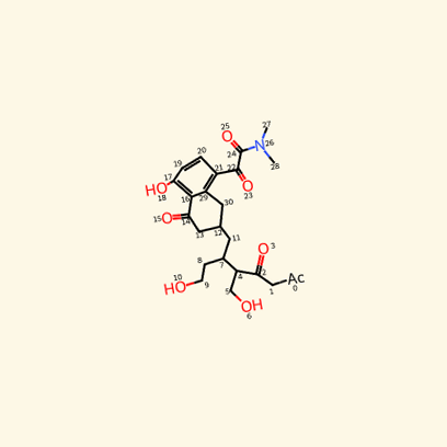 CC(=O)CC(=O)C(CO)C(CCO)CC1CC(=O)c2c(O)ccc(C(=O)C(=O)N(C)C)c2C1